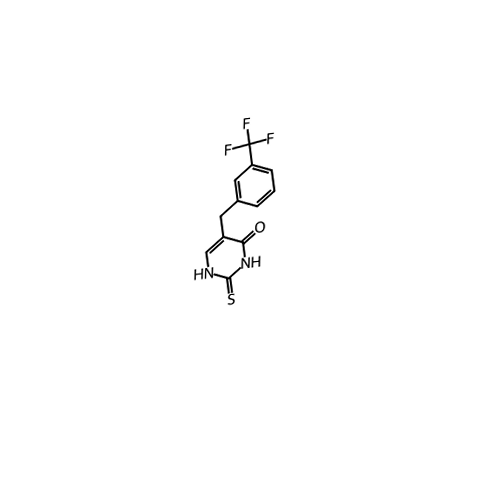 O=c1[nH]c(=S)[nH]cc1Cc1cccc(C(F)(F)F)c1